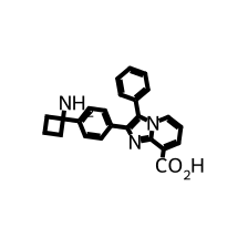 NC1(c2ccc(-c3nc4c(C(=O)O)cccn4c3-c3ccccc3)cc2)CCC1